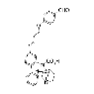 O=Cc1ccc(OCCC=Cc2ccc(-c3ccccc3)c(N(C(=O)O)[C@H]3CN4CCC3CC4)c2)cc1